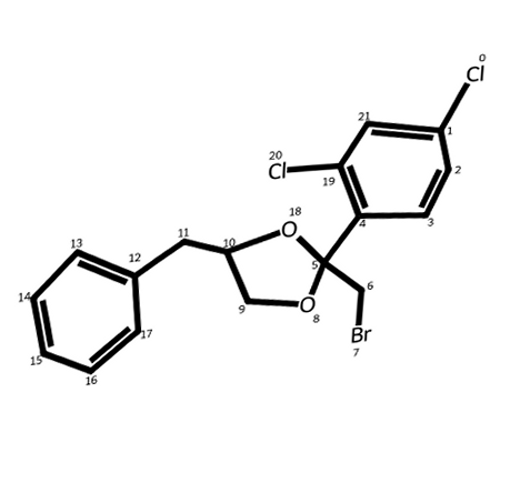 Clc1ccc(C2(CBr)OCC(Cc3ccccc3)O2)c(Cl)c1